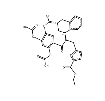 CCOC(=O)c1ccc(CN(C(=O)c2cc(OC(=O)O)c(OC(=O)O)cc2OC(=O)O)[C@H]2CCCc3ccccc32)s1